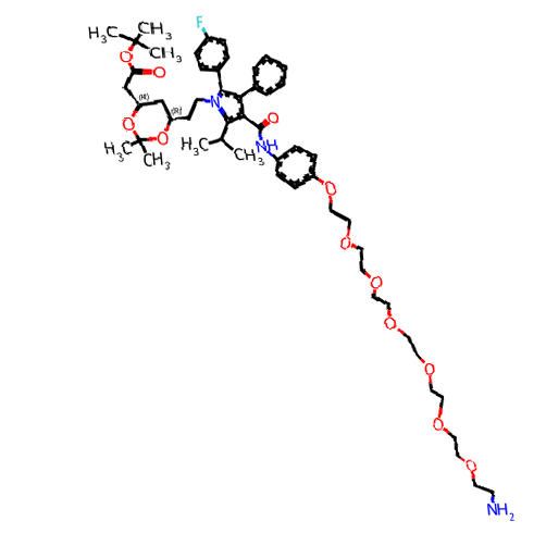 CC(C)c1c(C(=O)Nc2ccc(OCCOCCOCCOCCOCCOCCOCCN)cc2)c(-c2ccccc2)c(-c2ccc(F)cc2)n1CC[C@@H]1C[C@H](CC(=O)OC(C)(C)C)OC(C)(C)O1